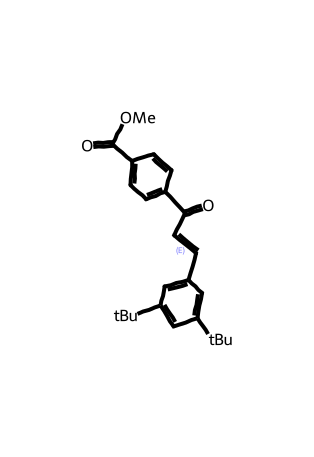 COC(=O)c1ccc(C(=O)/C=C/c2cc(C(C)(C)C)cc(C(C)(C)C)c2)cc1